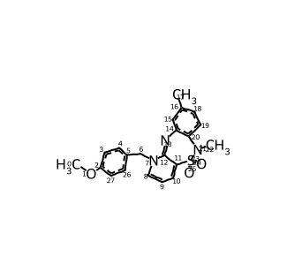 COc1ccc(CN2C=CC=C3C2=Nc2cc(C)ccc2N(C)S3(=O)=O)cc1